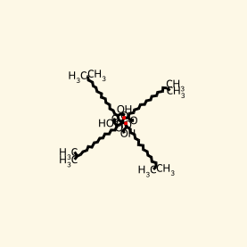 CC(C)CCCCCCCCCCCCCC(CC(CC(CCCCCCCCCCCCCC(C)C)C(=O)O)(CC(CCCCCCCCCCCCCC(C)C)C(=O)O)CC(CCCCCCCCCCCCCC(C)C)C(=O)O)C(=O)O